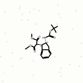 COC(=O)C(C(=O)OC)[C@@H]1c2ccccc2C[C@H]1NC(=O)OC(C)(C)C